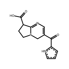 O=C(C1=CN=C2C(C(=O)O)CCN2C1)c1ccc[nH]1